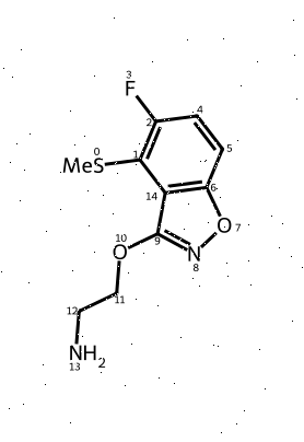 CSc1c(F)ccc2onc(OCCN)c12